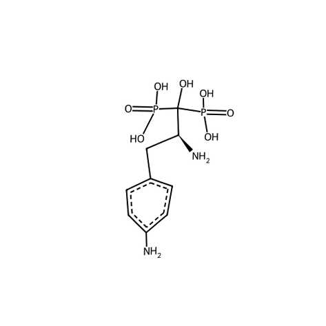 Nc1ccc(C[C@H](N)C(O)(P(=O)(O)O)P(=O)(O)O)cc1